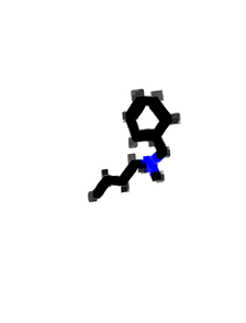 C[CH]CCN(C)Cc1ccccc1